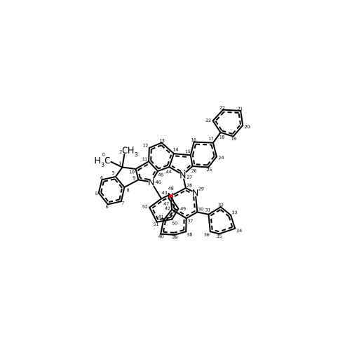 CC1(C)c2ccccc2-c2c1c1ccc3c4cc(-c5ccccc5)ccc4n(-c4nc(-c5ccccc5)c5ccccc5n4)c3c1n2-c1ccccc1